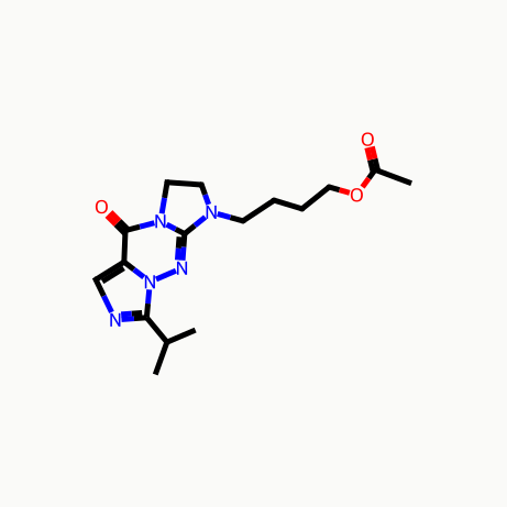 CC(=O)OCCCCN1CCn2c1nn1c(C(C)C)ncc1c2=O